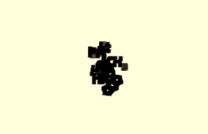 CCN(CC)CCC(C)S(=O)(=O)NC(=O)Nc1c2c(cc3c1CCC3)CCC2